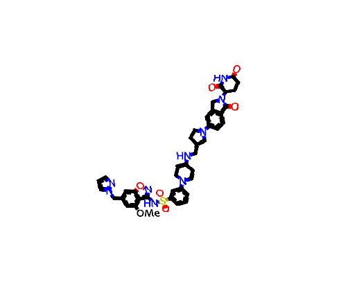 COc1cc(Cn2cccn2)cc2onc(NS(=O)(=O)c3cccc(N4CCC(NCC5CCN(c6ccc7c(c6)CN(C6CCC(=O)NC6=O)C7=O)C5)CC4)c3)c12